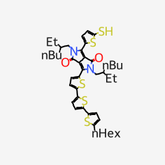 CCCCCCc1ccc(-c2ccc(-c3ccc(C4=C5C(=O)N(CC(CC)CCCC)C(c6ccc(S)s6)=C5C(=O)N4CC(CC)CCCC)s3)s2)s1